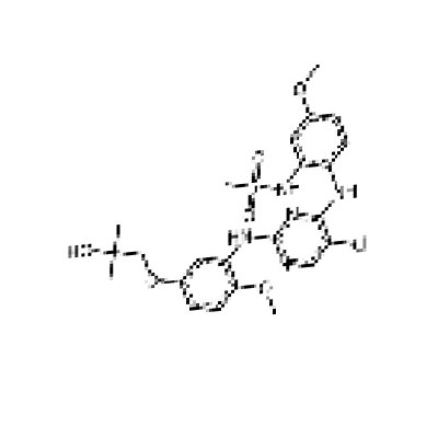 COc1ccc(Nc2nc(Nc3cc(OCC(C)(C)O)ccc3OC)ncc2Cl)c(NS(C)(=O)=O)c1